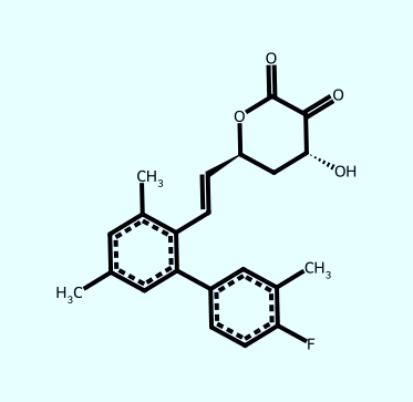 Cc1cc(C)c(/C=C/[C@@H]2C[C@@H](O)C(=O)C(=O)O2)c(-c2ccc(F)c(C)c2)c1